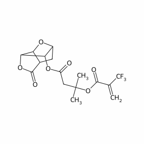 C=C(C(=O)OC(C)(C)CC(=O)OC1C2CC3C(=O)OC1C3O2)C(F)(F)F